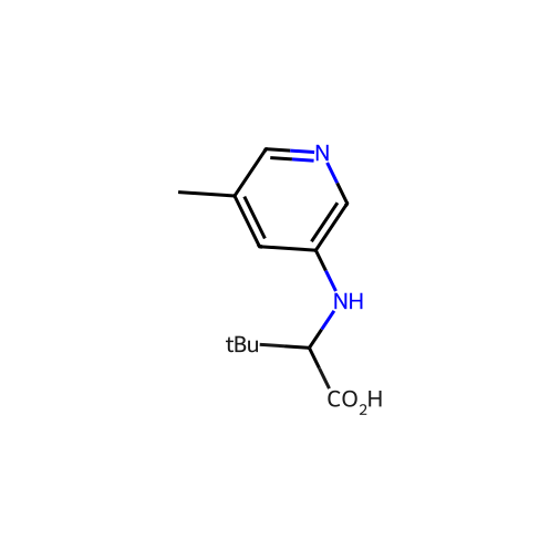 Cc1cncc(NC(C(=O)O)C(C)(C)C)c1